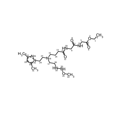 CCOC(=O)CNC(=O)CNC(=O)CCCN(CCNBOC)CCn1nc(C)cc1C